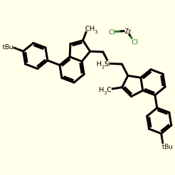 CC1=Cc2c(-c3ccc(C(C)(C)C)cc3)cccc2C1C[SiH2]CC1C(C)=Cc2c(-c3ccc(C(C)(C)C)cc3)cccc21.[Cl][Zr][Cl]